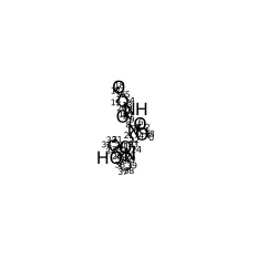 CC(C)(C)OC(=O)N(CCC(=O)Nc1ccc(C=O)cc1)CCc1cnc([C@](O)(c2ccccc2)C2CCCCC2)o1